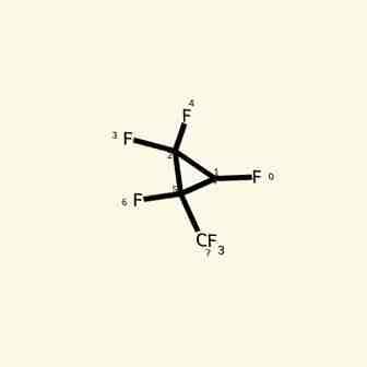 F[C]1C(F)(F)C1(F)C(F)(F)F